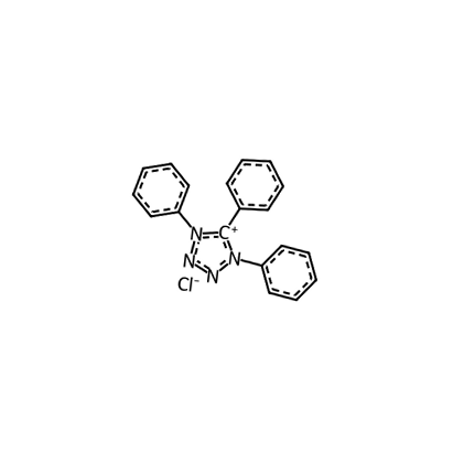 [Cl-].c1ccc(-[c+]2n(-c3ccccc3)nnn2-c2ccccc2)cc1